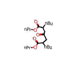 CCCCC(CC(=O)CC(CCCC)C(=O)OCCC)C(=O)OCCC